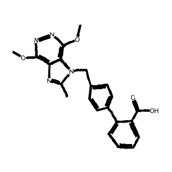 COc1nnc(OC)c2c1nc(C)n2Cc1ccc(-c2ccccc2C(=O)O)cc1